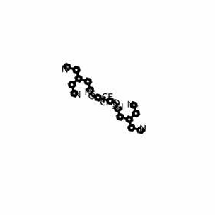 FC(F)(F)C(c1ccc(Oc2ccc(-c3cccc(-c4cc(-c5cccc(-c6cccnc6)c5)cc(-c5cccc(-c6cccnc6)c5)c4)c3)cn2)cc1)(c1ccc(Oc2ccc(-c3cccc(-c4cc(-c5cccc(-c6cccnc6)c5)cc(-c5cccc(-c6cccnc6)c5)c4)c3)cn2)cc1)C(F)(F)F